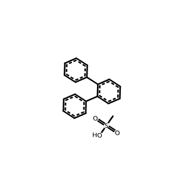 CS(=O)(=O)O.c1ccc(-c2ccccc2-c2ccccc2)cc1